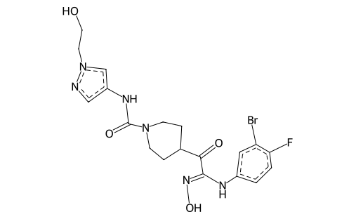 O=C(/C(=N/O)Nc1ccc(F)c(Br)c1)C1CCN(C(=O)Nc2cnn(CCO)c2)CC1